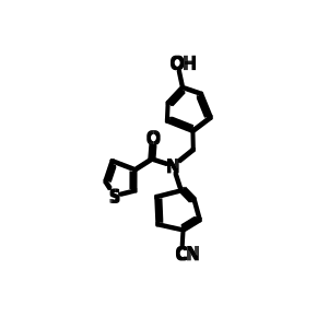 N#Cc1ccc(N(Cc2ccc(O)cc2)C(=O)c2ccsc2)cc1